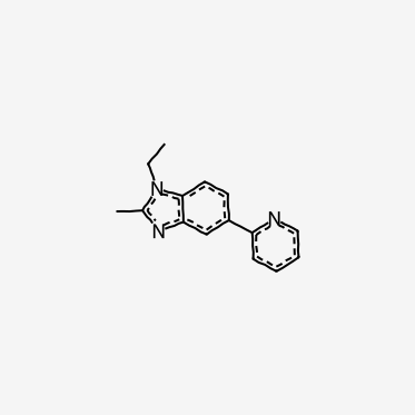 CCn1c(C)nc2cc(-c3ccccn3)ccc21